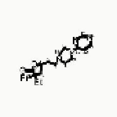 CCC1(CC)CC(CCN2CCN(c3ccncn3)CC2)OC1=O